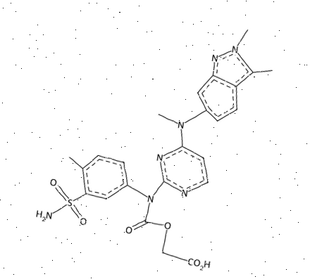 Cc1ccc(N(C(=O)OCC(=O)O)c2nccc(N(C)c3ccc4c(C)n(C)nc4c3)n2)cc1S(N)(=O)=O